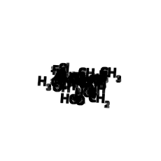 C=CC(=O)Nc1cc(Nc2nccc(Nc3cc(Cl)c(F)cc3C(C)(C)O)n2)c(OC)cc1N1CC2[C@@H](C1)CN2C.O=CO